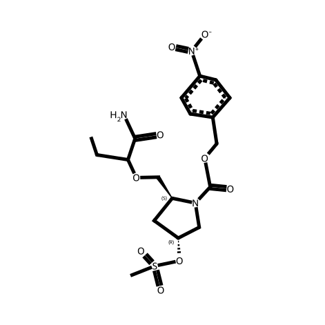 CCC(OC[C@@H]1C[C@@H](OS(C)(=O)=O)CN1C(=O)OCc1ccc([N+](=O)[O-])cc1)C(N)=O